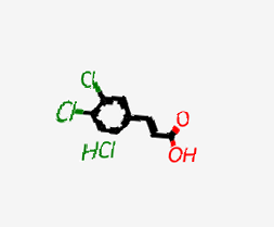 Cl.O=C(O)C=Cc1ccc(Cl)c(Cl)c1